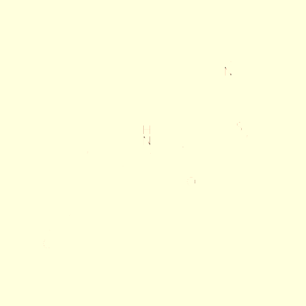 O=C(Nc1ccc(Cl)cc1)c1cncs1